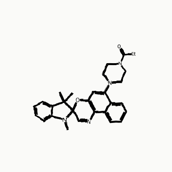 CCC(=O)N1CCN(c2cc3c(c4ccccc24)N=CC2(O3)N(C)c3ccccc3C2(C)C)CC1